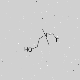 C[N+](C)(CF)CCO